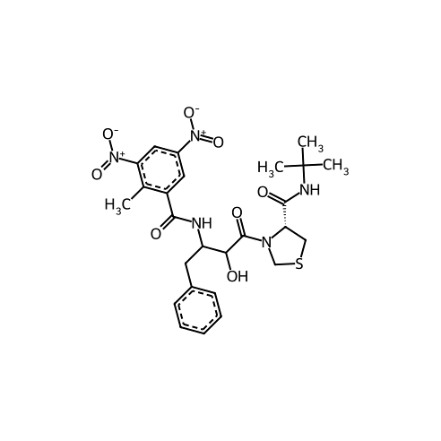 Cc1c(C(=O)NC(Cc2ccccc2)C(O)C(=O)N2CSC[C@H]2C(=O)NC(C)(C)C)cc([N+](=O)[O-])cc1[N+](=O)[O-]